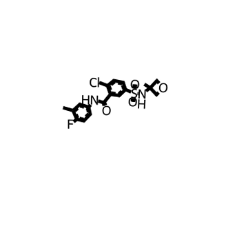 Cc1cc(NC(=O)c2cc(S(=O)(=O)NC3(C)COC3)ccc2Cl)ccc1F